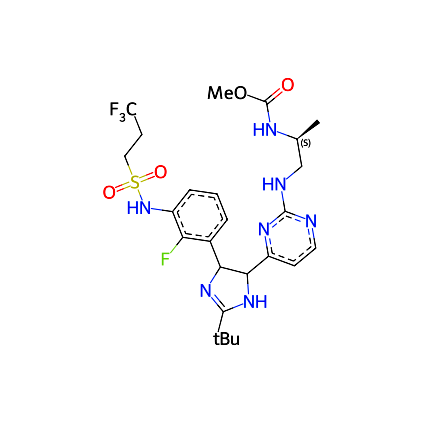 COC(=O)N[C@@H](C)CNc1nccc(C2NC(C(C)(C)C)=NC2c2cccc(NS(=O)(=O)CCC(F)(F)F)c2F)n1